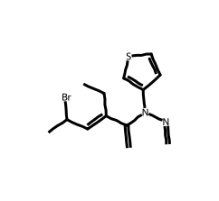 C=NN(C(=C)/C(=C/C(C)Br)CC)c1ccsc1